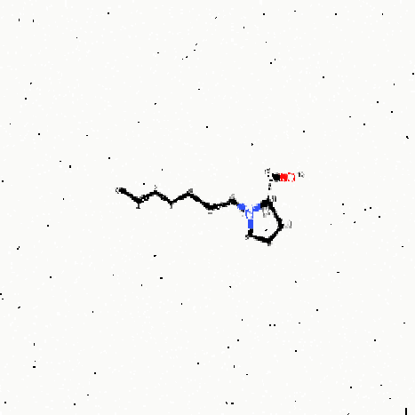 CCCCCCCN1CCC[C@H]1[C]=O